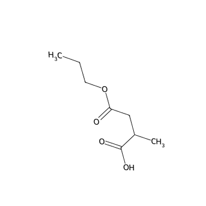 CCCOC(=O)CC(C)C(=O)O